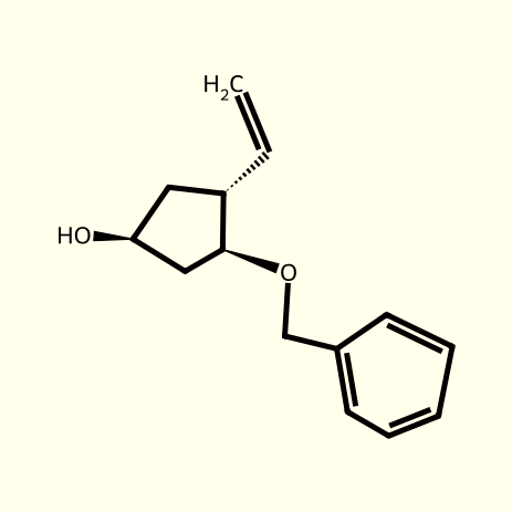 C=C[C@H]1C[C@H](O)C[C@@H]1OCc1ccccc1